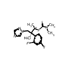 C[C@@H](SC(=S)N(C)C)[C@](O)(Cn1cncn1)c1ccc(F)cc1F